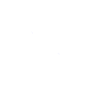 C=P/N=C/C1=CC(=C/Nc2ccccc2)/CCC1